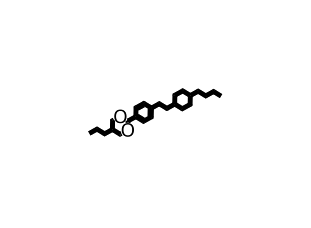 CCCCC1CCC(CCc2ccc(C3OCC(CCC)CO3)cc2)CC1